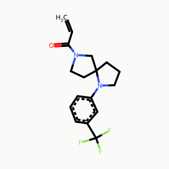 C=CC(=O)N1CCC2(CCCN2c2cccc(C(F)(F)F)c2)C1